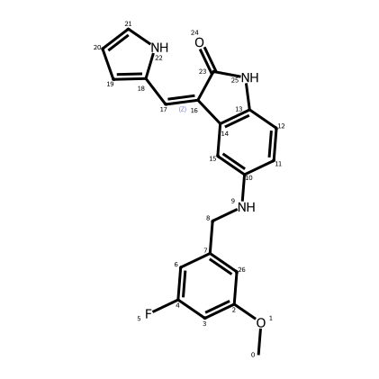 COc1cc(F)cc(CNc2ccc3c(c2)/C(=C/c2ccc[nH]2)C(=O)N3)c1